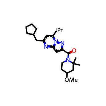 COC1CCN(C(=O)c2cc3nc(CC4CCCC4)cc(C(C)C)n3n2)C(C)(C)C1